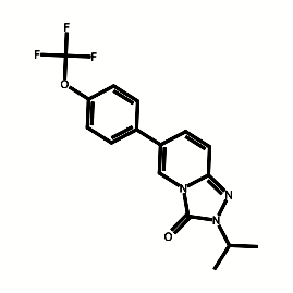 CC(C)n1nc2ccc(-c3ccc(OC(F)(F)F)cc3)cn2c1=O